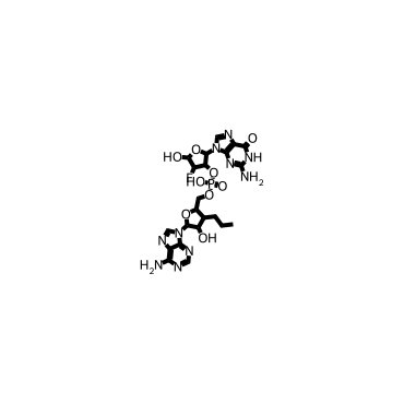 CCCC1C(COP(=O)(O)OC2C(F)C(O)OC2n2cnc3c(=O)[nH]c(N)nc32)OC(n2cnc3c(N)ncnc32)C1O